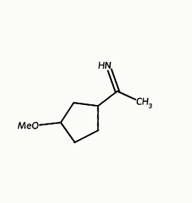 COC1CCC(C(C)=N)C1